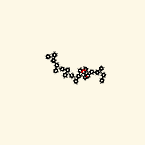 C1=Cc2c(n(-c3ccc(-c4cccc5c4c4ccccc4n5-c4ccc(-n5c6ccccc6c6cc(-n7c8ccccc8c8ccccc87)c(-c7cccc(-c8cccc(-n9c%10c(c%11cc(-c%12ccc%13c(c%12)c%12ccccc%12n%13-c%12cccc(-c%13ccccc%13)c%12)ccc%119)C=CCC%10)c8)c7)cc65)cn4)cc3)c3ccc(-c4ccc5c(c4)c4ccccc4n5-c4ccccc4)cc23)CC1